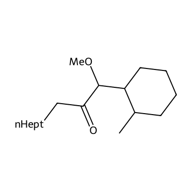 CCCCCCCCC(=O)C(OC)C1CCCCC1C